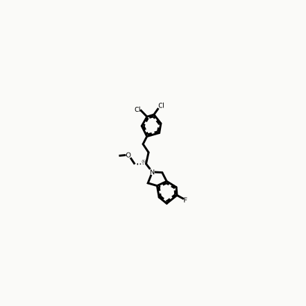 COC[C@H](CCc1ccc(Cl)c(Cl)c1)N1Cc2ccc(F)cc2C1